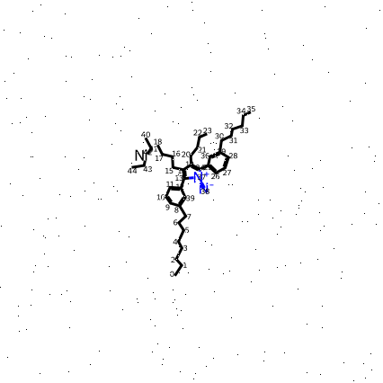 CCCCCCCCc1cccc(C2=C(CCCC)C(CCCC)=C(c3cccc(CCCCCC)c3)[N+]2=[N-])c1.C[CH2][Ni][CH2]C